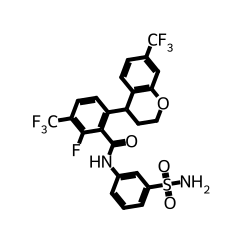 NS(=O)(=O)c1cccc(NC(=O)c2c(C3CCOc4cc(C(F)(F)F)ccc43)ccc(C(F)(F)F)c2F)c1